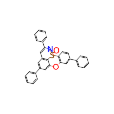 O=S12=NC(c3ccccc3)=Cc3cc(-c4ccccc4)cc(c31)Oc1cc(-c3ccccc3)ccc12